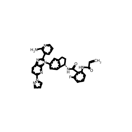 C=CC(=O)Nc1cccc(F)c1C(=O)N[C@H]1CCc2cc(-n3c(-c4cccnc4N)nc4ccc(-n5cccn5)nc43)ccc21